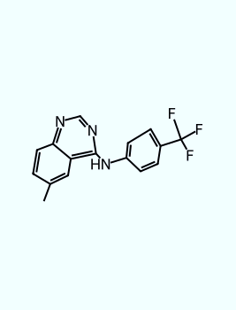 Cc1ccc2ncnc(Nc3ccc(C(F)(F)F)cc3)c2c1